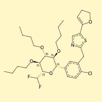 CCCCO[C@@H]1[C@@H](OCCCC)[C@H](c2ccc(Cl)c(Cc3ncc(C4=CCCO4)s3)c2)O[C@H](C(F)F)[C@H]1OCCCC